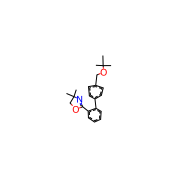 CC1(C)COC(c2ccccc2-c2ccc(COC(C)(C)C)cc2)=N1